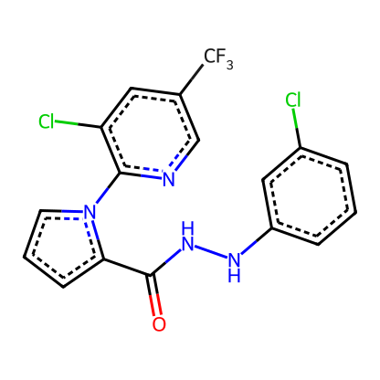 O=C(NNc1cccc(Cl)c1)c1cccn1-c1ncc(C(F)(F)F)cc1Cl